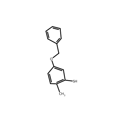 Cc1ccc(OCc2ccccc2)cc1S